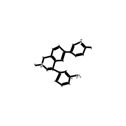 Cc1ccc(-c2ccc3c(c2)C(c2cccc(N)c2)=CN(C)C3)cn1